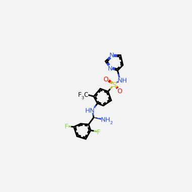 N[C@H](Nc1ccc(S(=O)(=O)Nc2ccncn2)cc1C(F)(F)F)c1cc(F)ccc1F